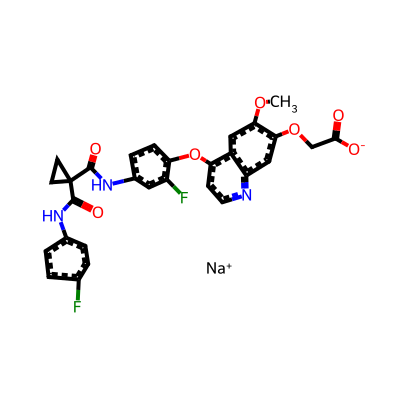 COc1cc2c(Oc3ccc(NC(=O)C4(C(=O)Nc5ccc(F)cc5)CC4)cc3F)ccnc2cc1OCC(=O)[O-].[Na+]